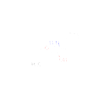 CC[C@@H]1CO[C@@H]1[C@H](O)[C@@H](N)CC1CCCCC1